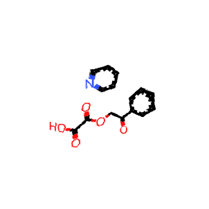 O=C(O)C(=O)OCC(=O)c1ccccc1.c1ccncc1